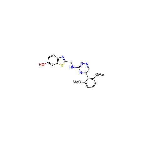 COc1cccc(OC)c1-c1cnnc(NCc2nc3ccc(O)cc3s2)n1